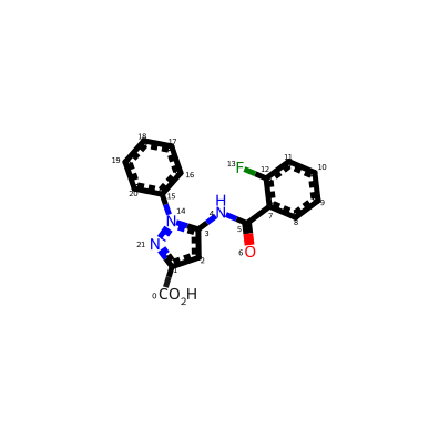 O=C(O)c1cc(NC(=O)c2ccccc2F)n(-c2ccccc2)n1